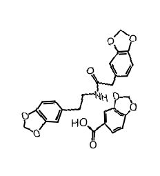 O=C(Cc1ccc2c(c1)OCO2)NCCc1ccc2c(c1)OCO2.O=C(O)c1ccc2c(c1)OCO2